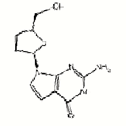 Nc1nc2c(ccn2[C@H]2CC[C@@H](CO)O2)c(=O)[nH]1